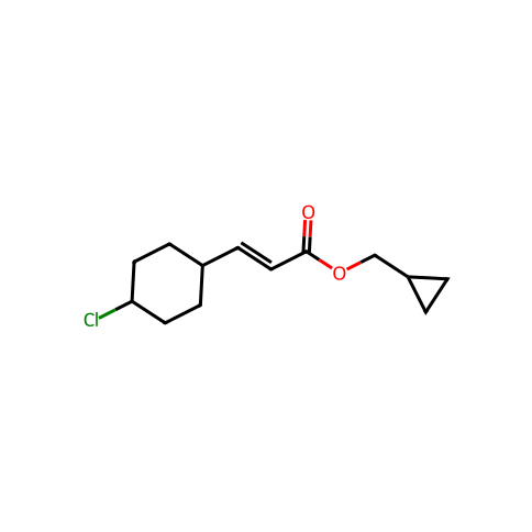 O=C(C=CC1CCC(Cl)CC1)OCC1CC1